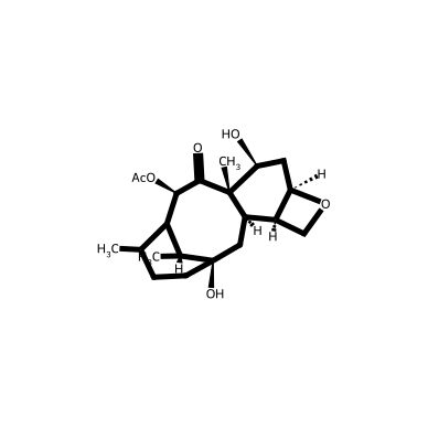 CC(=O)O[C@H]1C(=O)[C@@]2(C)[C@H](C[C@]3(O)CCC(C)C1[C@H]3C)[C@@H]1CO[C@@H]1C[C@@H]2O